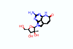 C[C@]1(O)C(n2cc3c4c(nc(N)nc42)NC(=O)C=C3)O[C@H](CO)[C@H]1O